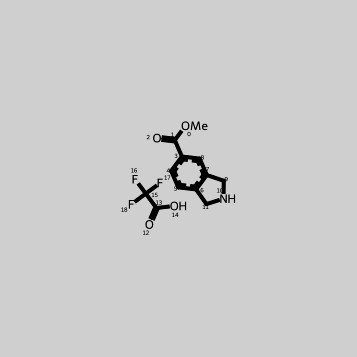 COC(=O)c1ccc2c(c1)CNC2.O=C(O)C(F)(F)F